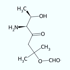 C[C@@H](O)[C@H](N)C(=O)CC(C)(C)O[C]=O